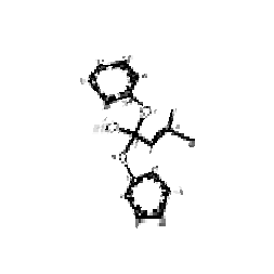 CC(C)=CC(O)(Oc1ccccc1)Oc1ccccc1